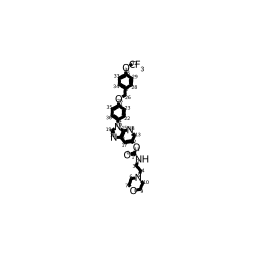 O=C(NCCN1CCOCC1)Oc1cnc2c(c1)ncn2-c1ccc(OCc2ccc(OC(F)(F)F)cc2)cc1